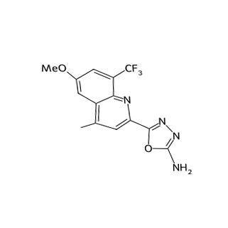 COc1cc(C(F)(F)F)c2nc(-c3nnc(N)o3)cc(C)c2c1